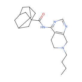 CCCCN1CCc2c(ncnc2NC(=O)C23CC4CC(CC(C4)C2)C3)C1